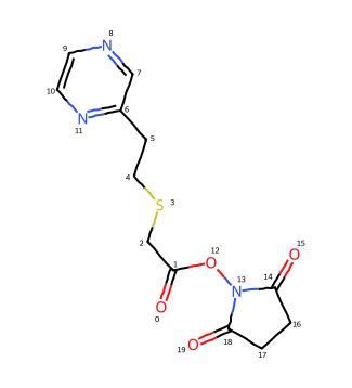 O=C(CSCCc1cnccn1)ON1C(=O)CCC1=O